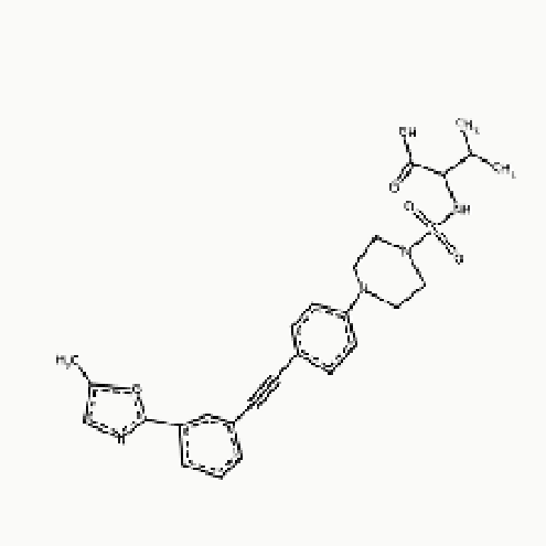 Cc1cnc(-c2cccc(C#Cc3ccc(N4CCN(S(=O)(=O)NC(C(=O)O)C(C)C)CC4)cc3)c2)o1